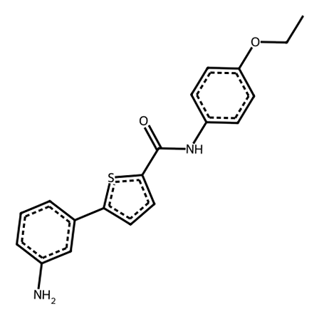 CCOc1ccc(NC(=O)c2ccc(-c3cccc(N)c3)s2)cc1